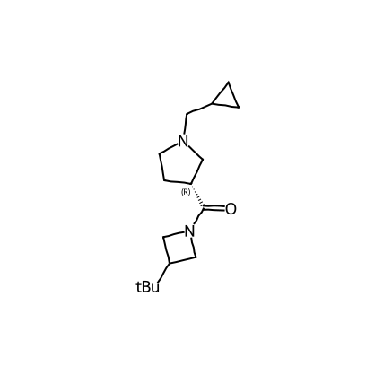 CC(C)(C)C1CN(C(=O)[C@@H]2CCN(CC3CC3)C2)C1